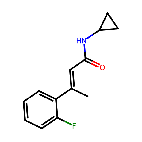 CC(=CC(=O)NC1CC1)c1ccccc1F